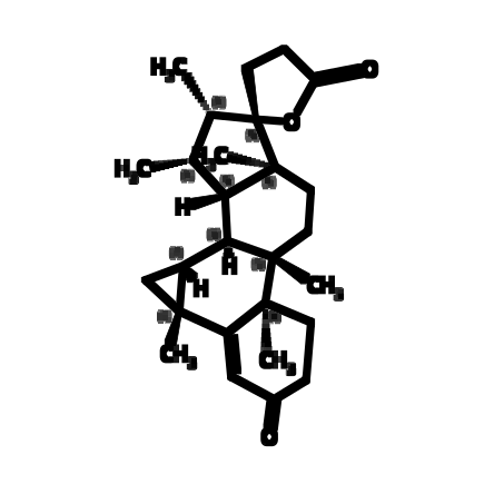 C[C@H]1[C@H]2[C@@H]3[C@H]4C[C@@]4(C)C4=CC(=O)CC[C@]4(C)[C@@]3(C)CC[C@]2(C)[C@]2(CCC(=O)O2)[C@H]1C